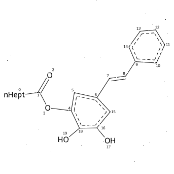 CCCCCCCC(=O)Oc1cc(C=Cc2ccccc2)cc(O)c1O